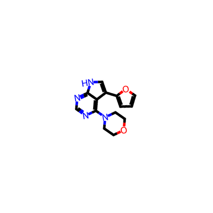 c1coc(-c2c[nH]c3ncnc(N4CCOCC4)c23)c1